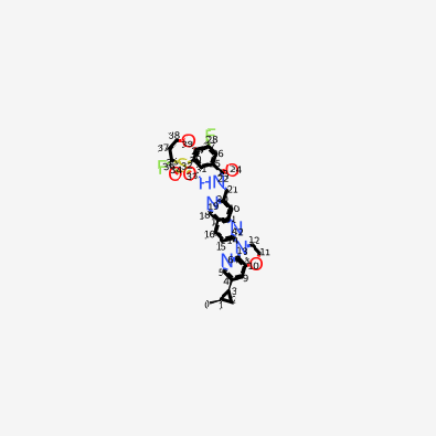 C[C@@H]1C[C@@H]1c1cnc2c(c1)OCCN2c1ccc2cnc(CNC(=O)c3cc(F)c4c(c3)S(=O)(=O)[C@@H](F)CCO4)cc2n1